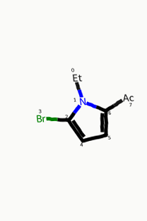 CCn1c(Br)ccc1C(C)=O